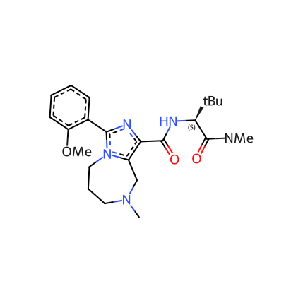 CNC(=O)[C@@H](NC(=O)c1nc(-c2ccccc2OC)n2c1CN(C)CCC2)C(C)(C)C